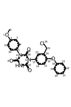 COc1ccc(-n2c(=O)[nH]c(=O)n(-c3ccc(Oc4ccccc4)c(CCl)c3)c2=O)cc1